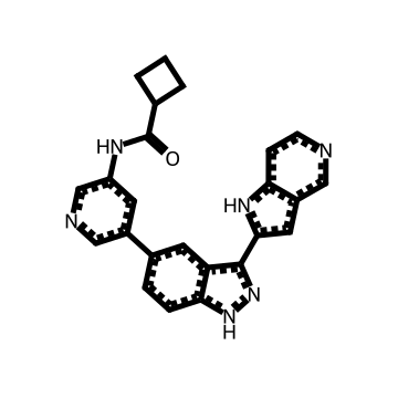 O=C(Nc1cncc(-c2ccc3[nH]nc(-c4cc5cnccc5[nH]4)c3c2)c1)C1CCC1